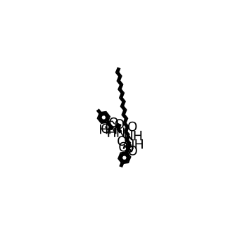 CCCCCCCCCCCCCCC(=O)C(NC(=O)NS(=O)(=O)c1ccc(C)cc1)NC(=O)NS(=O)(=O)c1ccc(C)cc1